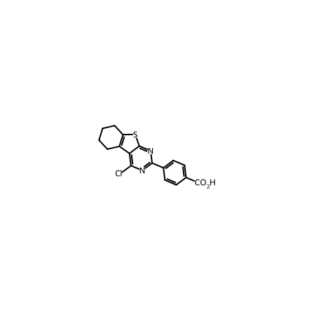 O=C(O)c1ccc(-c2nc(Cl)c3c4c(sc3n2)CCCC4)cc1